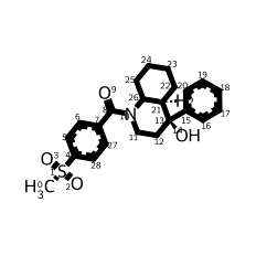 CS(=O)(=O)c1ccc(C(=O)N2CC[C@@](O)(c3ccccc3)[C@@H]3CCCCC32)cc1